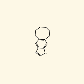 [CH]1C=Cc2cc3c(cc21)CCCCCC3